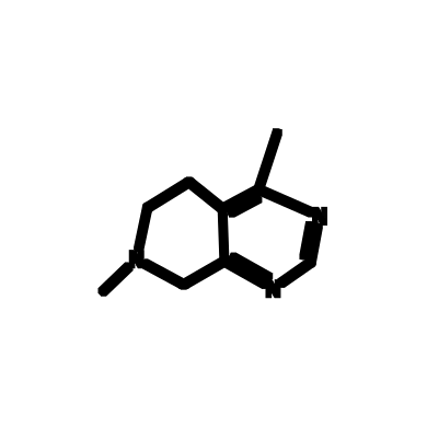 Cc1ncnc2c1CCN(C)C2